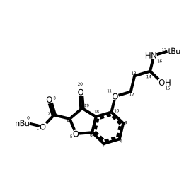 CCCCOC(=O)C1Oc2cccc(OCCC(O)NC(C)(C)C)c2C1=O